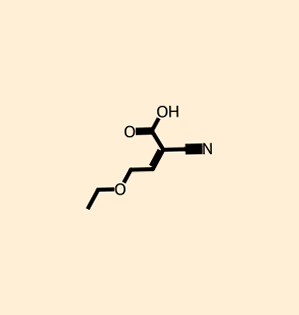 CCOCC=C(C#N)C(=O)O